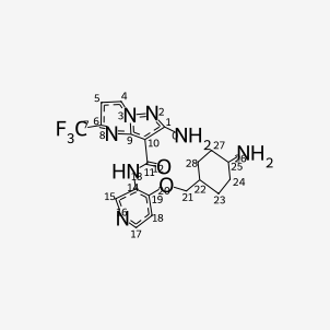 Nc1nn2ccc(C(F)(F)F)nc2c1C(=O)Nc1cnccc1OCC1CCC(N)CC1